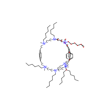 CCCCCC[N+]1(C)CC[N+]2(CCCCCC)CC[N+](C)(CCCCCC)Cc3ccc(cc3)C[N+](C)(CCCCCC)CC[N+](CCCCCC)(CC[N+](C)(CCCCCC)Cc3ccc(cc3)C1)CC[N+](C)(CCCCCC)Cc1ccc(cc1)C[N+](C)(CCCCCC)CC2